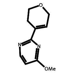 COc1ccnc(C2=CCOCC2)n1